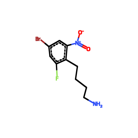 NCCCCc1c(F)cc(Br)cc1[N+](=O)[O-]